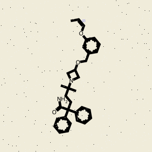 C/C=C\Oc1cccc(COC2CN(C(C)(C)CCC(C(N)=O)(c3ccccc3)c3ccccc3)C2)c1